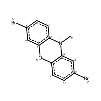 CN1c2ccc(Br)cc2Oc2ccc(Br)cc21